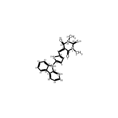 CN1C(=O)C(=Cc2ccc(-n3c4ccccc4c4cccnc43)s2)C(=O)N(C)C1=S